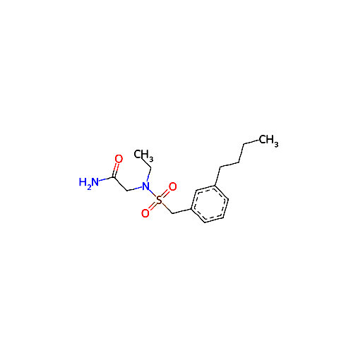 CCCCc1cccc(CS(=O)(=O)N(CC)CC(N)=O)c1